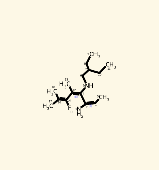 C/C=C(N)\C(NCC(CC)CC)=C(\C)C(F)=C(C)C